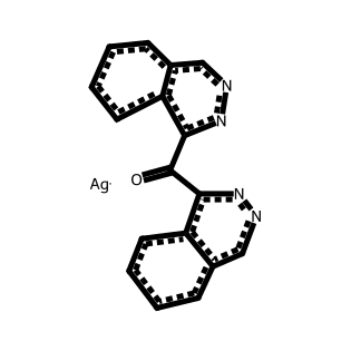 O=C(c1nncc2ccccc12)c1nncc2ccccc12.[Ag]